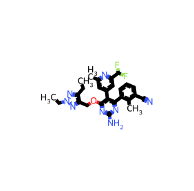 CCc1nn(CC)nc1COc1nc(N)nc(-c2cccc(C#N)c2C)c1-c1cc(C)nc(C(F)F)c1